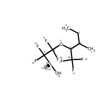 CCC(C)C(OC(F)(F)C(F)(F)S(=O)(=O)O)C(F)(F)F